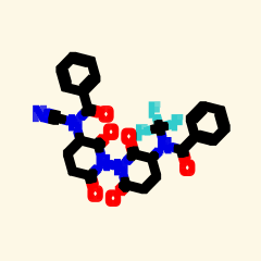 N#CN(C(=O)c1ccccc1)C1CCC(=O)N(N2C(=O)CCC(N(C(=O)c3ccccc3)C(F)(F)F)C2=O)C1=O